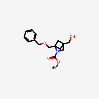 CC(C)(C)OC(=O)N1CC2(CO)CC1(COCc1ccccc1)C2